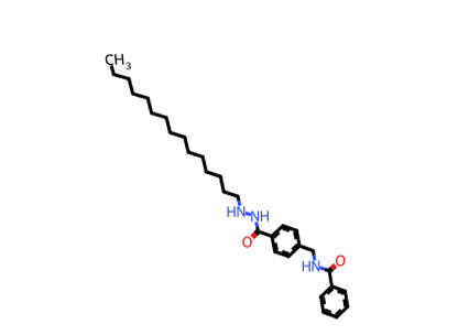 CCCCCCCCCCCCCCCNNC(=O)c1ccc(CNC(=O)c2ccccc2)cc1